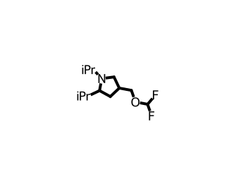 CC(C)C1CC(COC(F)F)CN1C(C)C